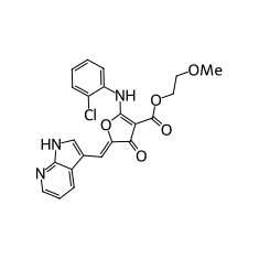 COCCOC(=O)C1=C(Nc2ccccc2Cl)OC(=Cc2c[nH]c3ncccc23)C1=O